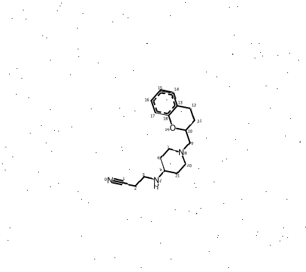 N#CCCNC1CCN(CC2CCc3ccccc3O2)CC1